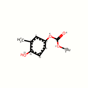 Cc1cc(OC(=O)OC(C)(C)C)ccc1O